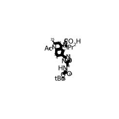 CC(=O)N1c2ccc(-c3noc(CNC(=O)OC(C)(C)C)n3)cc2[C@H](N(C(=O)O)C(C)C)C[C@@H]1C